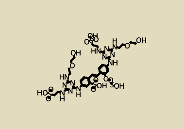 O=S(=O)(O)CCNc1nc(NCCOCCO)nc(Nc2ccc(C=Cc3ccc(Nc4nc(NCCOCCO)nc(NCCS(=O)(=O)O)n4)cc3S(=O)(=O)O)c(OOSO)c2)n1